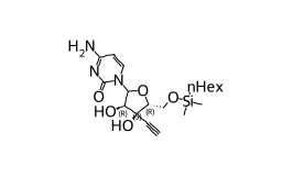 C#C[C@@]1(O)[C@@H](CO[Si](C)(C)CCCCCC)OC(n2ccc(N)nc2=O)[C@@H]1O